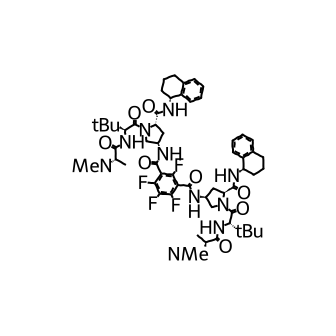 CN[C@@H](C)C(=O)N[C@H](C(=O)N1C[C@@H](NC(=O)c2c(F)c(F)c(F)c(C(=O)N[C@H]3C[C@@H](C(=O)N[C@@H]4CCCc5ccccc54)N(C(=O)[C@@H](NC(=O)[C@H](C)NC)C(C)(C)C)C3)c2F)C[C@H]1C(=O)N[C@@H]1CCCc2ccccc21)C(C)(C)C